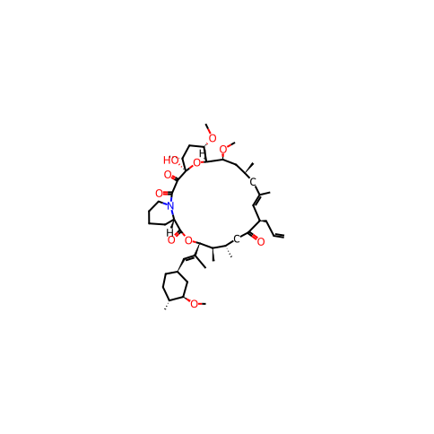 C=CC[C@@H]1/C=C(\C)C[C@H](C)C[C@H](OC)[C@H]2O[C@@](O)(C(=O)C(=O)N3CCCC[C@H]3C(=O)O[C@H](/C(C)=C/[C@@H]3CC[C@@H](C)[C@H](OC)C3)[C@H](C)[C@@H](C)CC1=O)[C@H](C)C[C@@H]2OC